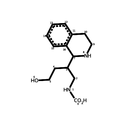 O=C(O)NCC(CCO)C1NCCc2ccccc21